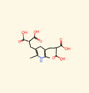 CC1=C(CC(C(=O)O)C(=O)O)CC(CC(C(=O)O)C(=O)O)=C(C)N1